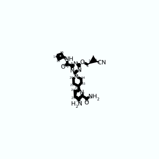 N#C[C@@H]1C[C@@H]1COc1nc(C(=O)NC23CC(C2)C3)nc(N2CCC(c3ccc(N)c(C(N)=O)n3)CC2)n1